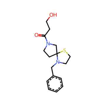 O=C(CCO)N1CCC2(C1)SCCN2Cc1ccccc1